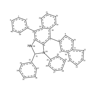 c1ccc(-c2c3c(c(-c4ccc5ccccc5c4)c4ccccc24)N(c2ccccc2)C(c2ccccc2)N3)cc1